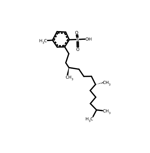 Cc1ccc(S(=O)(=O)O)c(CC[C@H](C)CCC[C@H](C)CCCC(C)C)c1